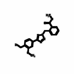 COC(=O)c1ccccc1Cn1nnc(-c2ccc(CBr)c(OC)c2)n1